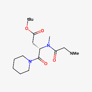 CNCC(=O)N(C)[C@@H](CC(=O)OC(C)(C)C)C(=O)N1CCCCC1